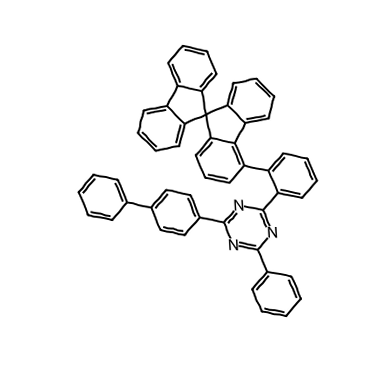 c1ccc(-c2ccc(-c3nc(-c4ccccc4)nc(-c4ccccc4-c4cccc5c4-c4ccccc4C54c5ccccc5-c5ccccc54)n3)cc2)cc1